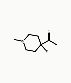 CC(=O)C1(F)CCN(C)CC1